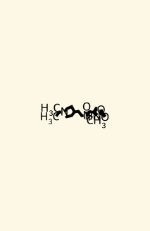 CC(C)N1CCC(CCN(C)C(=O)c2coc(=O)[nH]2)CC1